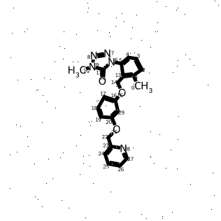 Cc1cccc(-n2nnn(C)c2=O)c1COc1cccc(OCc2ccccn2)c1